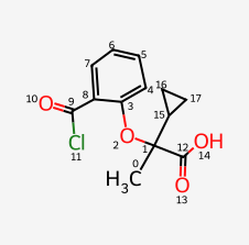 CC(Oc1ccccc1C(=O)Cl)(C(=O)O)C1CC1